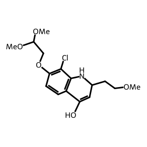 COCCC1C=C(O)c2ccc(OCC(OC)OC)c(Cl)c2N1